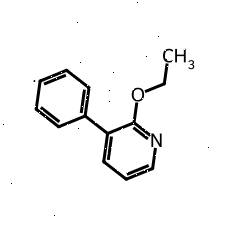 CCOc1ncccc1-c1cc[c]cc1